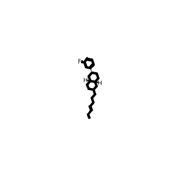 CCCCCCCC1CC[C@@H]2C[C@H](c3cccc(F)c3)CC[C@@H]2C1